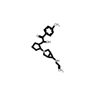 C=CCNC1C2CN(C3CCCC3C(O)C(=O)c3ccc(C)cc3)CC21